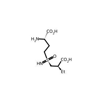 CC[C@@H](C[S@](=N)(=O)CC[C@H](N)C(=O)O)C(=O)O